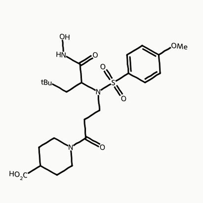 COc1ccc(S(=O)(=O)N(CCC(=O)N2CCC(C(=O)O)CC2)C(CC(C)(C)C)C(=O)NO)cc1